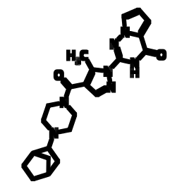 Cc1c(C(=O)N2CCN(C3CC4CCC3C4)CC2)cnn1-c1nn2cccc2c(=O)[nH]1